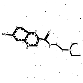 CCN(CC)CCNC(=O)c1cnc2cc([125I])ccc2n1